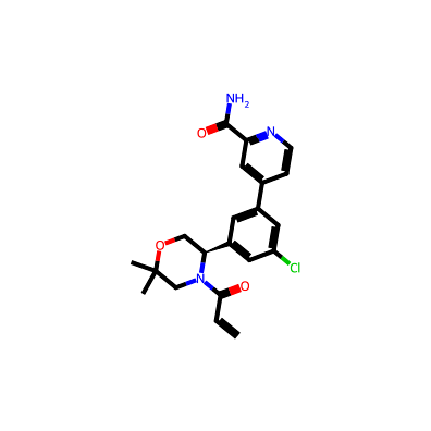 C=CC(=O)N1CC(C)(C)OC[C@H]1c1cc(Cl)cc(-c2ccnc(C(N)=O)c2)c1